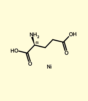 N[C@@H](CCC(=O)O)C(=O)O.[Ni]